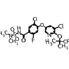 CN(C)S(=O)(=O)NC(=O)c1cc(Cl)c(Oc2cnc(OC(C)(C)C(F)(F)F)c(Cl)c2)cc1F